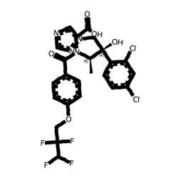 C[C@@H](N(CC(=O)O)C(=O)c1ccc(OCC(F)(F)C(F)F)cc1)[C@](O)(Cn1cncn1)c1ccc(Cl)cc1Cl